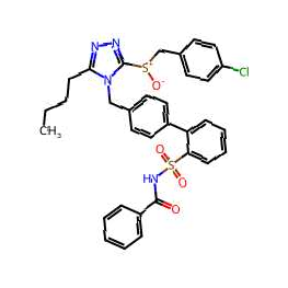 CCCCc1nnc([S+]([O-])Cc2ccc(Cl)cc2)n1Cc1ccc(-c2ccccc2S(=O)(=O)NC(=O)c2ccccc2)cc1